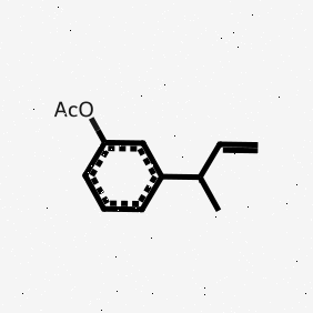 C=C[C](C)c1cccc(OC(C)=O)c1